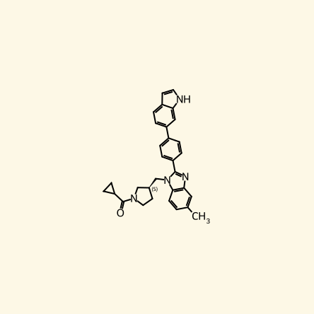 Cc1ccc2c(c1)nc(-c1ccc(-c3ccc4cc[nH]c4c3)cc1)n2C[C@H]1CCN(C(=O)C2CC2)C1